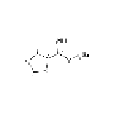 CCCC[CH]C(=N)C1CCCC1